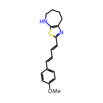 COc1ccc(/C=C/C=C/c2nc3c(s2)NCCCC3)cc1